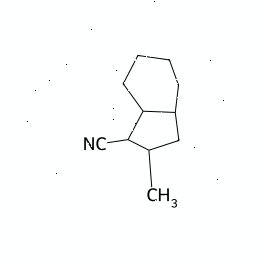 CC1CC2CCCCC2C1C#N